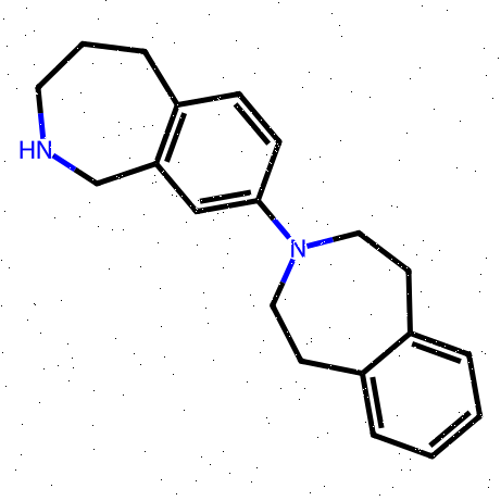 c1ccc2c(c1)CCN(c1ccc3c(c1)CNCCC3)CC2